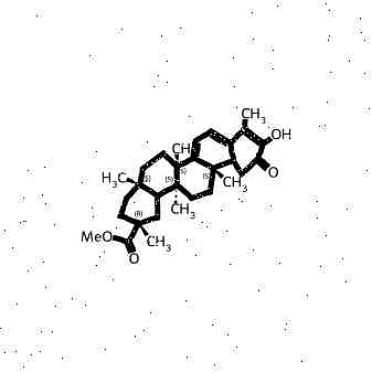 COC(=O)[C@]1(C)CC[C@]2(C)CC[C@]3(C)C4=CC=C5C(C)=C(O)C(=O)CC5[C@]4(C)CC[C@@]3(C)C2C1